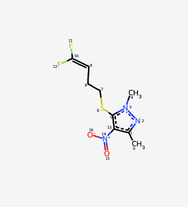 Cc1nn(C)c(SCCC=C(F)F)c1[N+](=O)[O-]